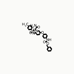 Cc1ccc(S(=O)(=O)/N=c2/ccc(Oc3ccc(NC(=O)OCc4ccccc4)cc3)cn2CC(N)=O)cc1